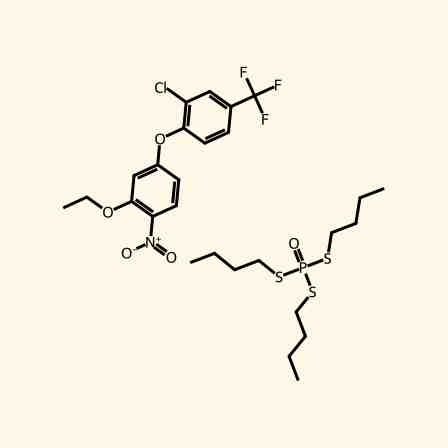 CCCCSP(=O)(SCCCC)SCCCC.CCOc1cc(Oc2ccc(C(F)(F)F)cc2Cl)ccc1[N+](=O)[O-]